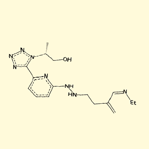 C=C(/C=N\CC)CCNNc1cccc(-c2nnnn2[C@H](C)CO)n1